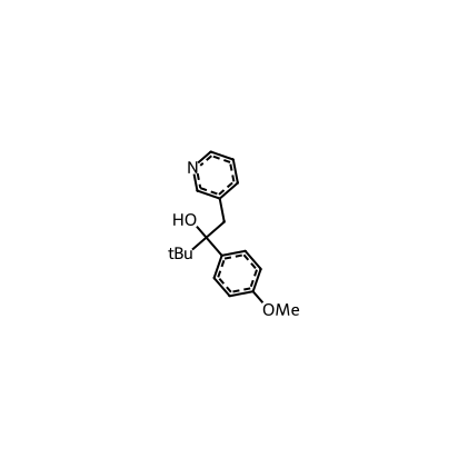 COc1ccc(C(O)(Cc2cccnc2)C(C)(C)C)cc1